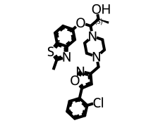 Cc1nc2cc(OC([C@H](C)O)N3CCN(Cc4cc(-c5ccccc5Cl)on4)CC3)ccc2s1